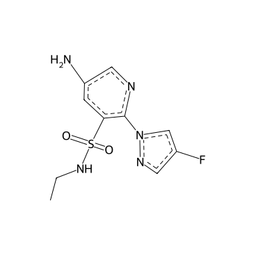 CCNS(=O)(=O)c1cc(N)cnc1-n1cc(F)cn1